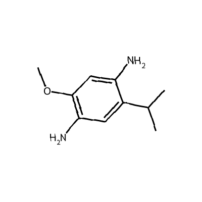 COc1cc(N)c(C(C)C)cc1N